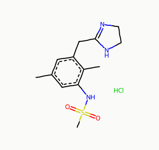 Cc1cc(CC2=NCCN2)c(C)c(NS(C)(=O)=O)c1.Cl